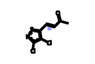 CC(=O)/C=C/c1snc(Cl)c1Cl